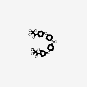 O=C(c1ccc(Oc2ccc([S+]([O-])c3ccc(Oc4ccc(C(=O)C(Cl)(Cl)Cl)cc4)cc3)cc2)cc1)C(Cl)(Cl)Cl